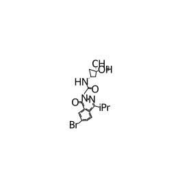 CC(C)c1nn(CC(=O)N[C@H]2C[C@](C)(O)C2)c(=O)c2cc(Br)ccc12